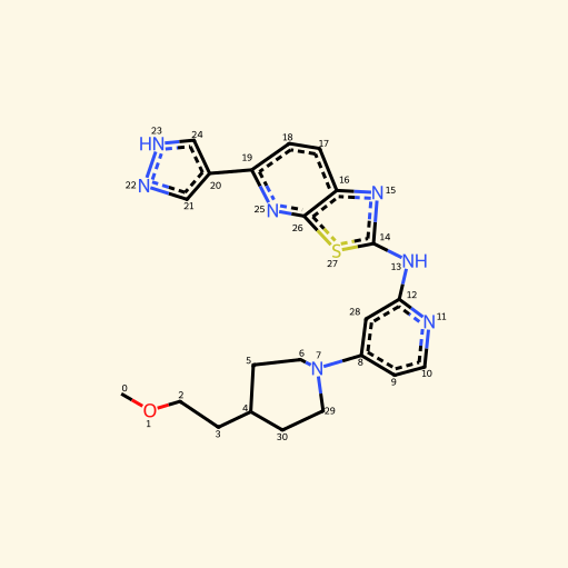 COCCC1CCN(c2ccnc(Nc3nc4ccc(-c5cn[nH]c5)nc4s3)c2)CC1